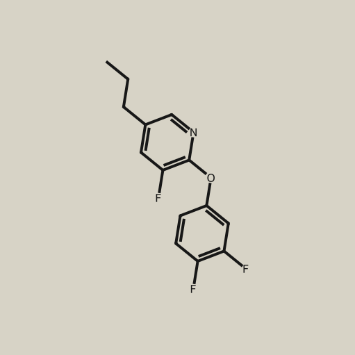 CCCc1cnc(Oc2ccc(F)c(F)c2)c(F)c1